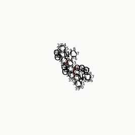 O=C1c2cc(-c3ccccc3N3c4ccccc4S(=O)(=O)c4ccccc43)ccc2S(=O)(=O)c2ccc(-c3ccccc3N3c4ccccc4S(=O)(=O)c4ccccc43)cc21